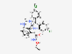 CCONC(=O)[C@@H](NC1(C(c2ccc(Cl)cc2)c2ccc(Cl)cc2)N=CNc2ccccc21)C(C)C